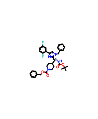 CC(C)(C)OC(=O)N[C@@H](c1nc(-c2cc(F)ccc2F)cn1Cc1ccccc1)C1CCN(C(=O)OCc2ccccc2)CC1